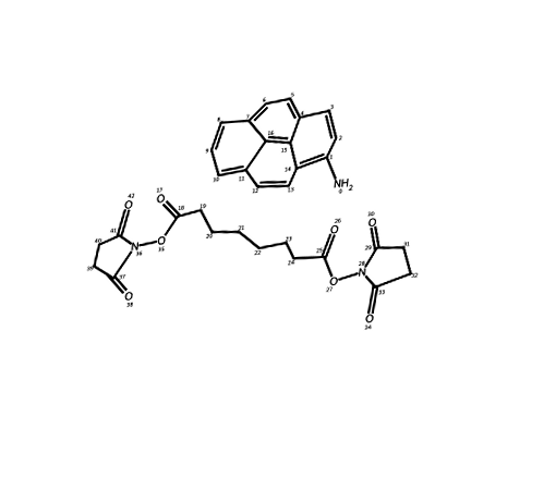 Nc1ccc2ccc3cccc4ccc1c2c34.O=C(CCCCCCC(=O)ON1C(=O)CCC1=O)ON1C(=O)CCC1=O